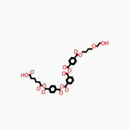 O=C(O)CCCCC(=O)OC(=O)c1ccc(C(=O)OC(=O)c2cccc(C(=O)OC(=O)c3ccc(C(=O)OCCCCOCCO)cc3)c2)cc1